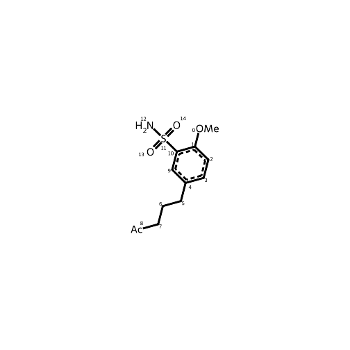 COc1ccc(CCCC(C)=O)cc1S(N)(=O)=O